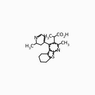 Cc1nc2sc3c(c2c(C2=CC=NC(C)C2)c1C(C)C(=O)O)CCCC3